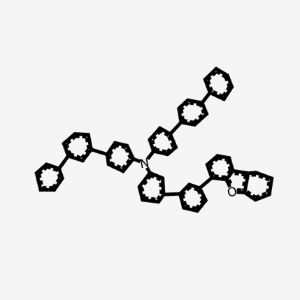 c1ccc(-c2ccc(-c3ccc(N(c4ccc(-c5cccc(-c6ccccc6)c5)cc4)c4cccc(-c5cccc(-c6cccc7c6oc6ccccc67)c5)c4)cc3)cc2)cc1